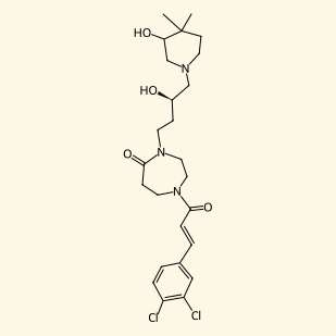 CC1(C)CCN(C[C@H](O)CCN2CCN(C(=O)/C=C/c3ccc(Cl)c(Cl)c3)CCC2=O)CC1O